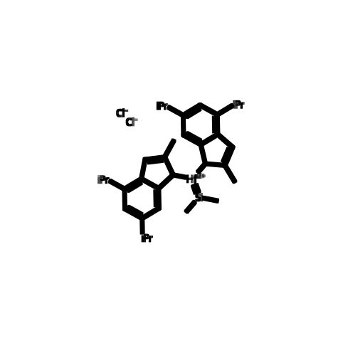 CC1=Cc2c(C(C)C)cc(C(C)C)cc2[CH]1[Hf+2]([CH]1C(C)=Cc2c(C(C)C)cc(C(C)C)cc21)=[Si](C)C.[Cl-].[Cl-]